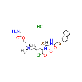 C[N+](C)(C/C=C/C1=C(C(=O)Cl)N2C(=O)[C@@H](NC(=O)CSc3ccc4ccccc4c3)[C@H]2SC1)CCCOC(=O)CN.Cl